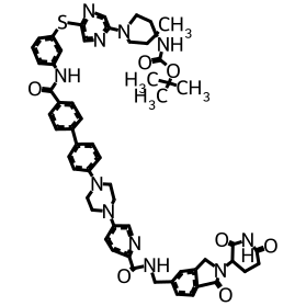 CC1(NC(=O)OC(C)(C)C)CCN(c2cnc(Sc3cccc(NC(=O)c4ccc(-c5ccc(N6CCN(c7ccc(C(=O)NCc8ccc9c(c8)CN(C8CCC(=O)NC8=O)C9=O)nc7)CC6)cc5)cc4)c3)cn2)CC1